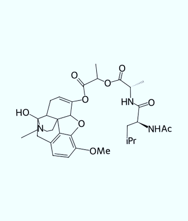 COc1ccc2c3c1OC1C(OC(=O)C(C)OC(=O)[C@H](C)NC(=O)[C@H](CC(C)C)NC(C)=O)=CCC4C31CCN(C)C4(O)C2